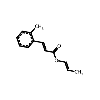 CC=COC(=O)C=Cc1ccccc1C